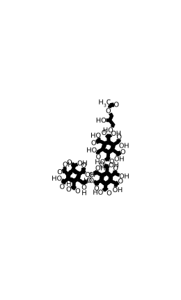 CC(=O)OCC(O)CO.O=C(O)c1c(C(=O)O)c(C(=O)O)c(C(=O)O)c(C(=O)O)c1C(=O)O.O=C(O)c1c(C(=O)O)c(C(=O)O)c(C(=O)O)c(C(=O)O)c1C(=O)O.O=C(O)c1c(C(=O)O)c(C(=O)O)c(C(=O)O)c(C(=O)O)c1C(=O)O